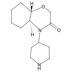 O=C1CO[C@H]2CCCC[C@@H]2N1C1CCNCC1